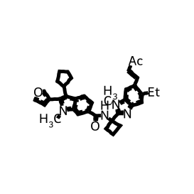 CCc1cc2nc(C3(NC(=O)c4ccc5c(C6CCCC6)c(-c6ccoc6)n(C)c5c4)CCC3)n(C)c2cc1/C=C/C(C)=O